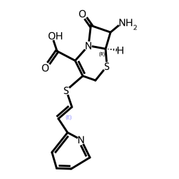 NC1C(=O)N2C(C(=O)O)=C(S/C=C/c3ccccn3)CS[C@H]12